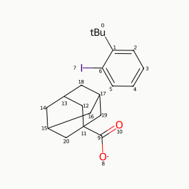 CC(C)(C)c1ccccc1I.[O]C(=O)C12CC3CC(CC(C3)C1)C2